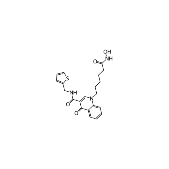 O=C(CCCCCn1cc(C(=O)NCc2cccs2)c(=O)c2ccccc21)NO